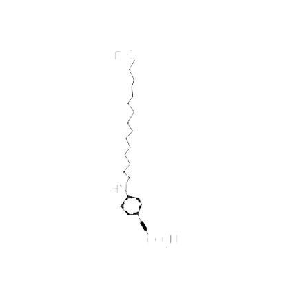 O=C(O)C#Cc1ccc(NCCCCCCCCCCCCCCCC(F)(F)F)cc1